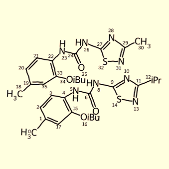 Cc1ccc(NC(=O)Nc2nc(C(C)C)ns2)c(OCC(C)C)c1.Cc1ccc(NC(=O)Nc2nc(C)ns2)c(OCC(C)C)c1